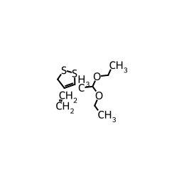 C1=CSSC1.C=C.CCOC(C)OCC